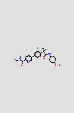 CCNC(=O)c1ccc(-c2ccc(C3(C(=O)NC4CCC(O)CC4)CC3)c(F)c2)cn1